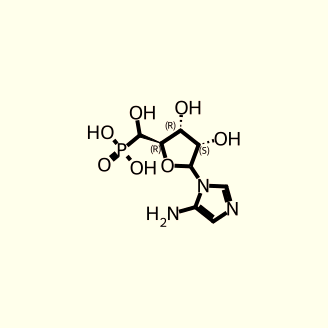 Nc1cncn1C1O[C@@H](C(O)P(=O)(O)O)[C@H](O)[C@@H]1O